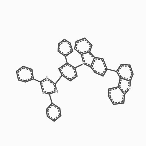 c1ccc(-c2nc(-c3ccccc3)nc(-c3ccc(-n4c5ccccc5c5cc(-c6cccc7oc8ccccc8c67)ccc54)c(-c4ccccc4)c3)n2)cc1